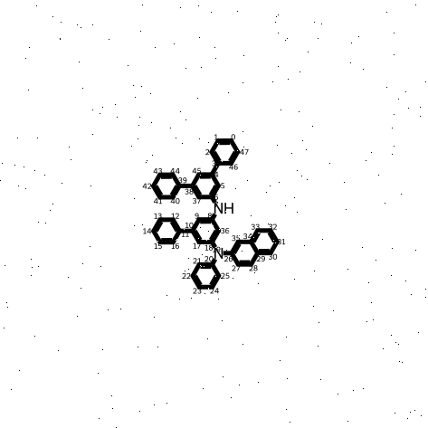 c1ccc(-c2cc(Nc3cc(-c4ccccc4)cc(N(c4ccccc4)c4ccc5ccccc5c4)c3)cc(-c3ccccc3)c2)cc1